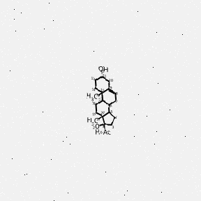 CC(=O)C1(O)CCC2C3CC=C4C[C@@H](O)CCC4(C)C3CCC21C